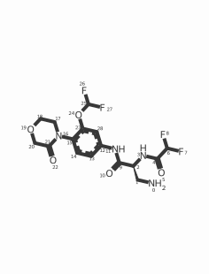 NC[C@H](NC(=O)C(F)F)C(=O)Nc1ccc(N2CCOCC2=O)c(OC(F)F)c1